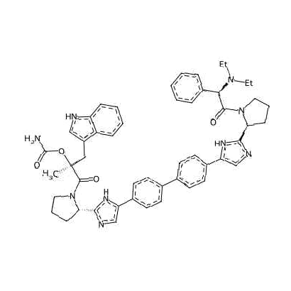 CCN(CC)[C@@H](C(=O)N1CCC[C@H]1c1ncc(-c2ccc(-c3ccc(-c4cnc([C@@H]5CCCN5C(=O)[C@](C)(Cc5c[nH]c6ccccc56)OC(N)=O)[nH]4)cc3)cc2)[nH]1)c1ccccc1